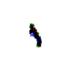 Cc1ccc(COCC(F)(F)F)c(N2C(=O)CSC2=NC(=O)Nc2ccc(-c3ncn(-c4ccc(OC(F)(F)F)cn4)n3)cc2Cl)c1